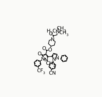 Cn1c(-c2ccnn2-c2ccc(C#N)cc2)c(C(=O)OC2CCN(C(=O)C[N+](C)(C)C)CC2)c(=O)n1-c1cccc(C(F)(F)F)c1.c1ccccc1